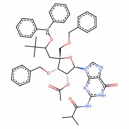 CC(=O)O[C@H]1[C@H](n2cnc3c(=O)[nH]c(NC(=O)C(C)C)nc32)O[C@@](COCc2ccccc2)(CC(O[SiH](c2ccccc2)c2ccccc2)C(C)(C)C)[C@H]1OCc1ccccc1